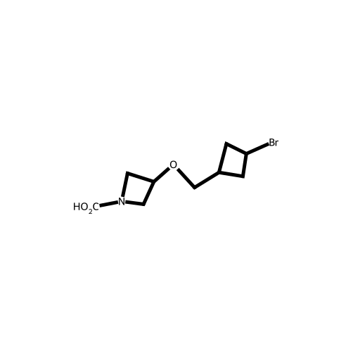 O=C(O)N1CC(OCC2CC(Br)C2)C1